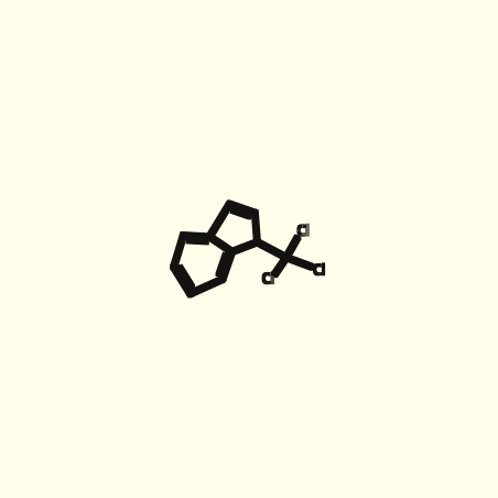 ClC(Cl)(Cl)[C]1C=Cc2ccccc21